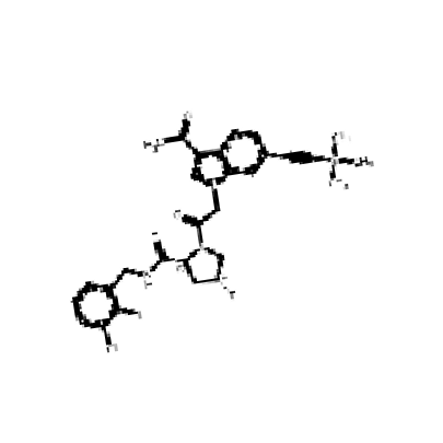 CC(=O)c1cn(CC(=O)N2C[C@H](F)C[C@H]2C(=O)NCc2cccc(Cl)c2F)c2cc(C#CS(C)(C)C)ccc12